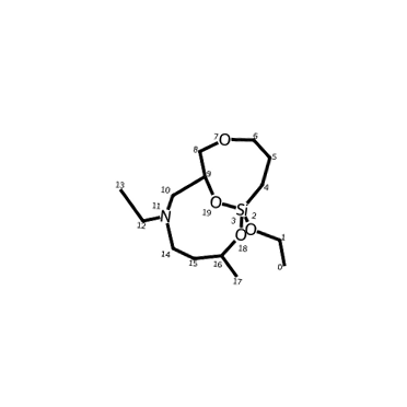 CCO[Si]12CCCOCC(CN(CC)CCC(C)O1)O2